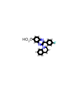 O=C(O)c1ccc2nc(-c3ccc(F)cc3)c(N3CCCc4ccccc43)nc2c1